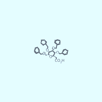 O=C(O)C[C@H]1O[C@H](COCc2ccccc2)[C@@H](OCc2ccccc2)[C@@H](OCc2ccccc2)[C@@H]1OCc1ccccc1